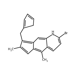 Cc1cc2c(C)c3ccc(Br)[nH]c3cc2c1CC1=CC=CC1